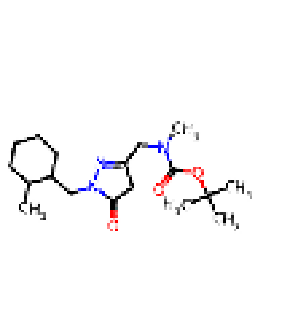 CC1CCCCC1CN1N=C(CN(C)C(=O)OC(C)(C)C)CC1=O